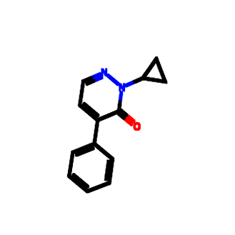 O=c1c(-c2ccccc2)ccnn1C1CC1